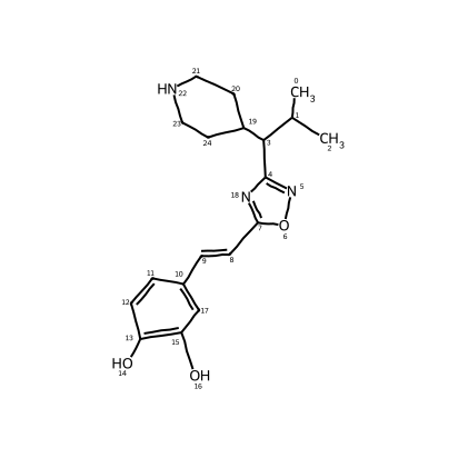 CC(C)C(c1noc(C=Cc2ccc(O)c(O)c2)n1)C1CCNCC1